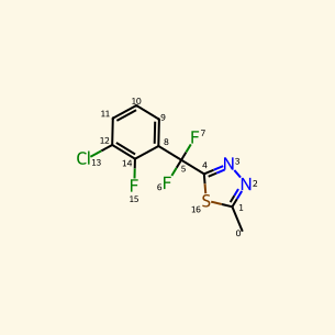 Cc1nnc(C(F)(F)c2cccc(Cl)c2F)s1